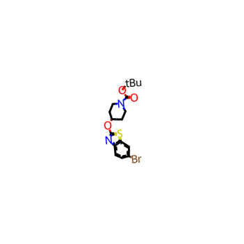 CC(C)(C)OC(=O)N1CCC(Oc2nc3ccc(Br)cc3s2)CC1